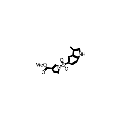 COC(=O)c1ccn(S(=O)(=O)c2ccc3[nH]cc(C)c3c2)c1